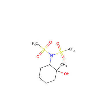 CC1(O)CCCCC1N(S(=O)(=O)C(F)(F)F)S(=O)(=O)C(F)(F)F